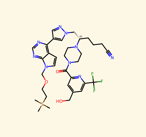 CS(C)(C)CCOCn1ccc2c(-c3cnn(C[C@H](CCCC#N)N4CCN(C(=O)c5cc(CO)cc(C(F)(F)F)n5)CC4)c3)ncnc21